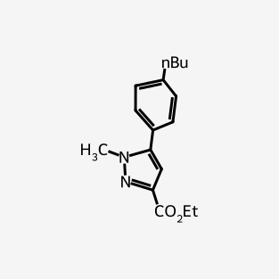 CCCCc1ccc(-c2cc(C(=O)OCC)nn2C)cc1